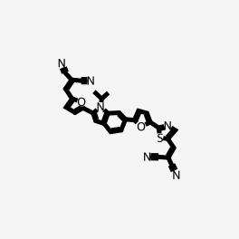 CC(C)n1c(-c2ccc(C=C(C#N)C#N)o2)cc2ccc(-c3ccc(-c4ncc(C=C(C#N)C#N)s4)o3)cc21